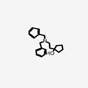 OC1(CCN(Cc2ccccc2)Cc2ccccc2)CCCC1